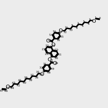 C=COCCCCCCCCCCOc1ccc(C(=O)Oc2cccc3c(OC(=O)c4ccc(OCCCCCCCCCCOC=C)cc4)cccc23)cc1